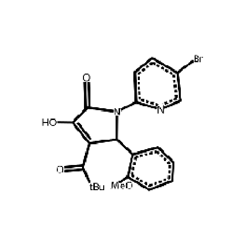 COc1ccccc1C1C(C(=O)C(C)(C)C)=C(O)C(=O)N1c1ccc(Br)cn1